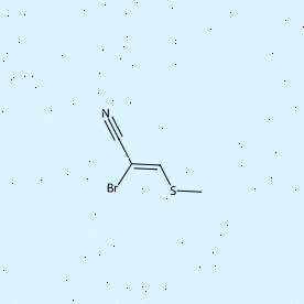 CSC=C(Br)C#N